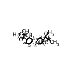 CC(C)(C)C(=O)C1CCN(C[C@H]2CC[C@H](C(=O)C(C)(C)C)CC2)CC1